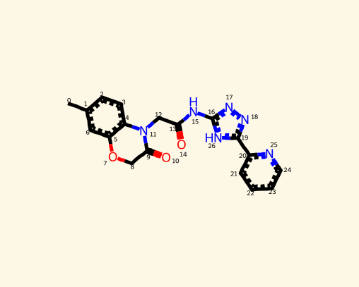 Cc1ccc2c(c1)OCC(=O)N2CC(=O)Nc1nnc(-c2ccccn2)[nH]1